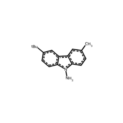 Cc1ccc2c(c1)c1cc(C(C)(C)C)ccc1n2N